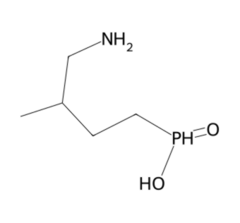 CC(CN)CC[PH](=O)O